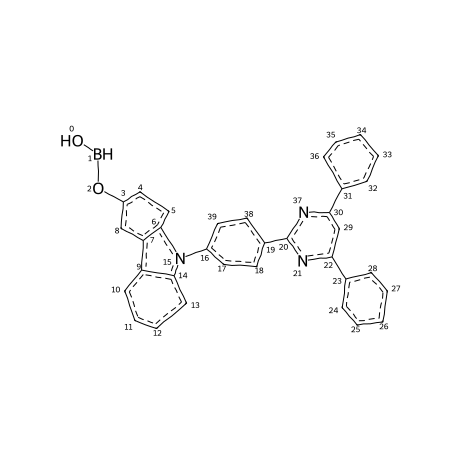 OBOc1ccc2c(c1)c1ccccc1n2-c1ccc(-c2nc(-c3ccccc3)cc(-c3ccccc3)n2)cc1